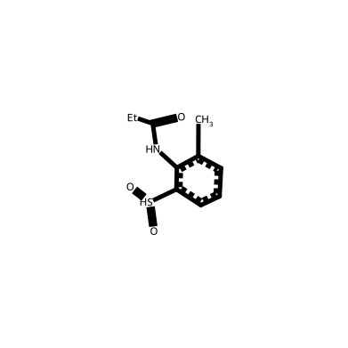 CCC(=O)Nc1c(C)cccc1[SH](=O)=O